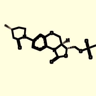 C[C@@H]1CCN(c2ccc3c(c2)OC[C@H]2[C@H](COS(C)(=O)=O)OC(=O)N32)C(=O)C1